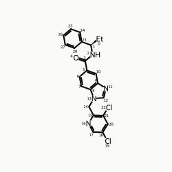 CC[C@@H](NC(=O)c1ccc2c(c1)ncn2Cc1ncc(Cl)cc1Cl)c1ccccc1